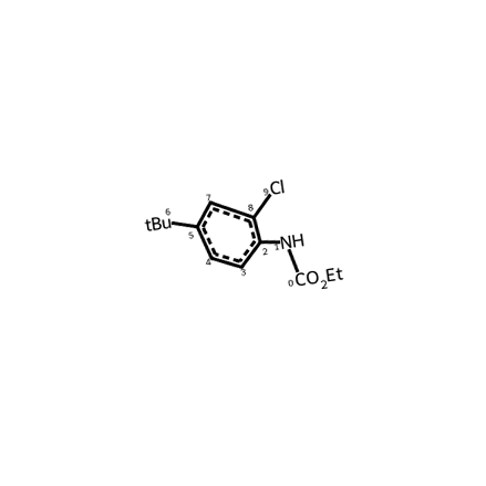 CCOC(=O)Nc1ccc(C(C)(C)C)cc1Cl